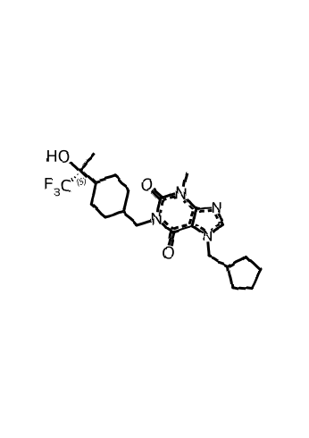 Cn1c(=O)n(CC2CCC([C@](C)(O)C(F)(F)F)CC2)c(=O)c2c1ncn2CC1CCCC1